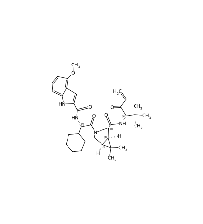 C=CC(=O)[C@@H](NC(=O)[C@@H]1[C@@H]2[C@H](CN1C(=O)[C@@H](NC(=O)c1cc3c(OC)cccc3[nH]1)C1CCCCC1)C2(C)C)C(C)(C)C